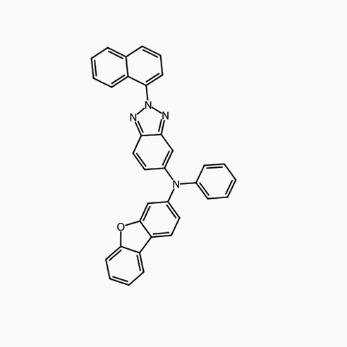 c1ccc(N(c2ccc3nn(-c4cccc5ccccc45)nc3c2)c2ccc3c(c2)oc2ccccc23)cc1